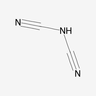 N#CNC#N